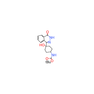 CC(C)(C)OC(=O)NC1CCC(O)(c2n[nH]c(=O)c3ccccc23)CC1